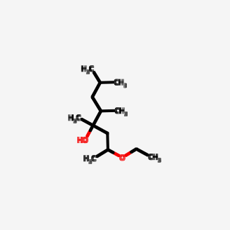 CCOC(C)CC(C)(O)C(C)CC(C)C